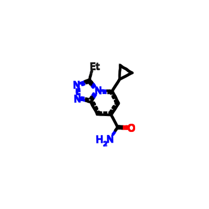 CCc1nnc2cc(C(N)=O)cc(C3CC3)n12